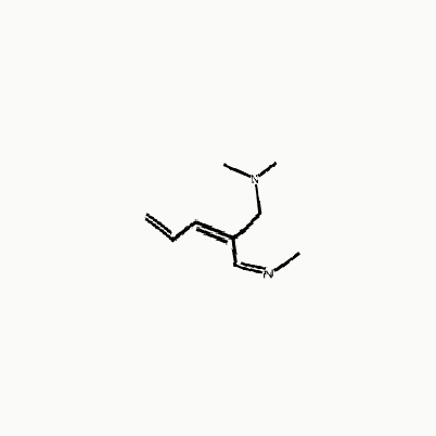 C=C/C=C(\C=N/C)CN(C)C